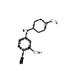 [C]#Cc1ccc(NC2CCN(C)CC2)cc1OC